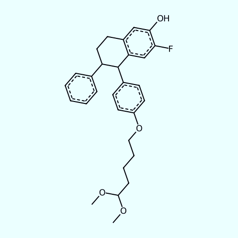 COC(CCCCOc1ccc(C2c3cc(F)c(O)cc3CCC2c2ccccc2)cc1)OC